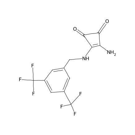 Nc1c(NCc2cc(C(F)(F)F)cc(C(F)(F)F)c2)c(=O)c1=O